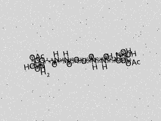 CC(=O)OCC1OC(OCCCCC(=O)NCCCNC(=O)CCOCCOCCC(=O)NCCCNC(=O)CCCCOC2OC(COC(C)=O)C(O)C(O)C2N)C(N)C(O)C1O